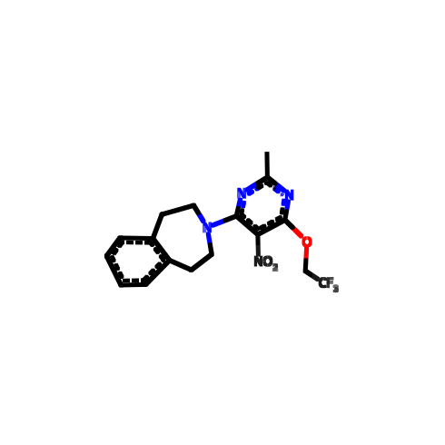 Cc1nc(OCC(F)(F)F)c([N+](=O)[O-])c(N2CCc3ccccc3CC2)n1